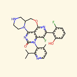 Cc1ccnc(C(C)C)c1-n1c(=O)nc2c3c(nc(-c4c(O)cccc4F)c(F)c31)OCC1CNCCN21